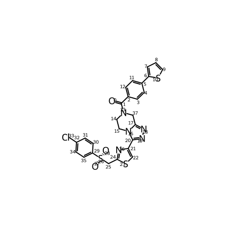 O=C(c1ccc(-c2cccs2)cc1)N1CCn2c(nnc2-c2csc(CS(=O)(=O)c3ccc(Cl)cc3)n2)C1